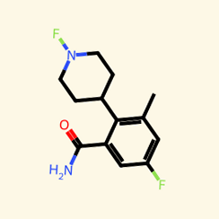 Cc1cc(F)cc(C(N)=O)c1C1CCN(F)CC1